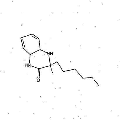 CCCCCCC1(C)NC2C=CC=CC2NC1=O